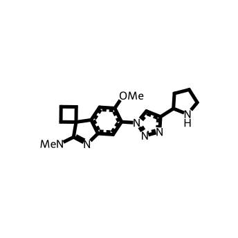 CNC1=Nc2cc(-n3cc(C4CCCN4)nn3)c(OC)cc2C12CCC2